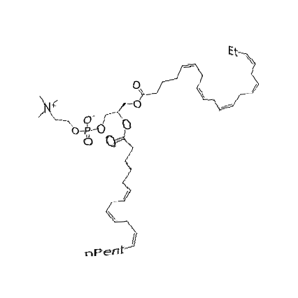 CC/C=C\C/C=C\C/C=C\C/C=C\C/C=C\CCCC(=O)OC[C@H](COP(=O)([O-])OCC[N+](C)(C)C)OC(=O)CCCC/C=C\C/C=C\C/C=C\CCCCC